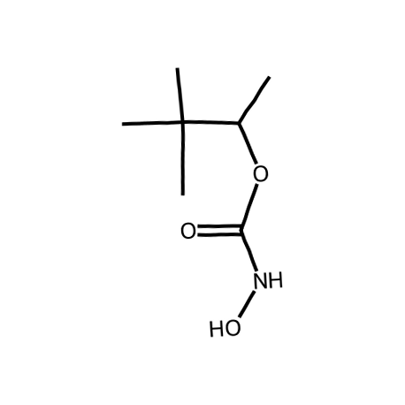 CC(OC(=O)NO)C(C)(C)C